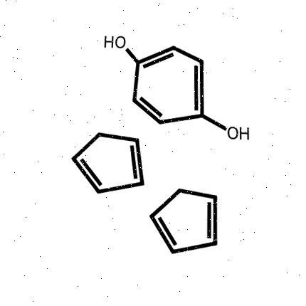 C1=CCC=C1.C1=CCC=C1.Oc1ccc(O)cc1